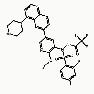 COc1ncc(-c2ccc3nccc(N4CCNCC4)c3c2)cc1N(OC(=O)C(F)(F)F)S(=O)(=O)c1ccc(F)cc1F